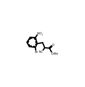 COC(=O)C(C#N)Cc1c(Br)cccc1[N+](=O)[O-]